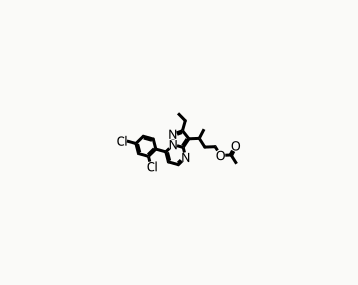 CCc1nn2c(-c3ccc(Cl)cc3Cl)ccnc2c1C(C)CCOC(C)=O